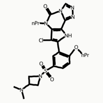 CCCOc1ccc(S(=O)(=O)N2CC(N(C)C)C2)cc1-c1[nH]c2c(c1Cl)n(CCC)c(=O)n1cnnc21